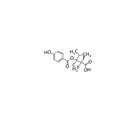 CC(C)C(C)(OC(=O)c1ccc(O)cc1)C(F)(F)C(=O)O